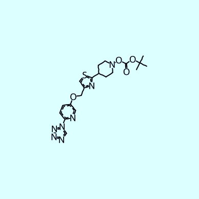 CC(C)(C)OC(=O)ON1CCC(c2nc(COc3ccc(-n4cnnn4)nc3)cs2)CC1